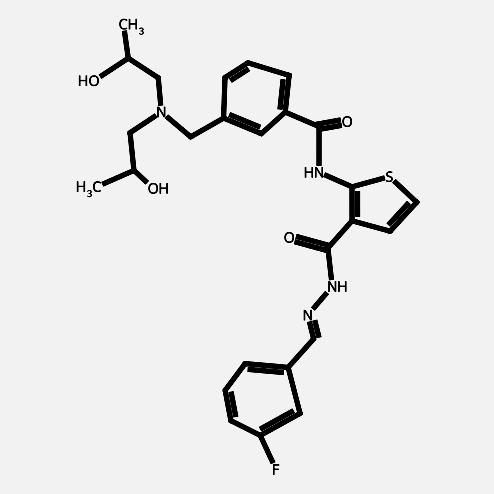 CC(O)CN(Cc1cccc(C(=O)Nc2sccc2C(=O)N/N=C/c2cccc(F)c2)c1)CC(C)O